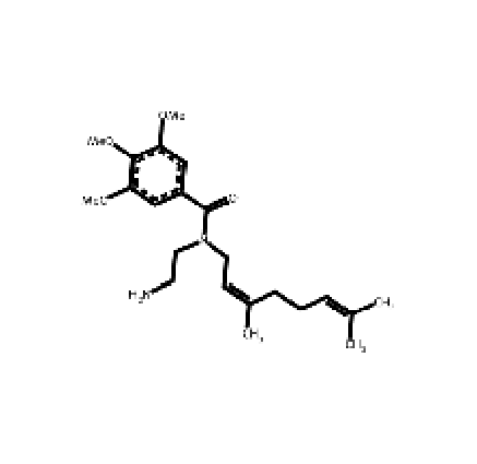 COc1cc(C(=O)N(CC=C(C)CCC=C(C)C)CCN)cc(OC)c1OC